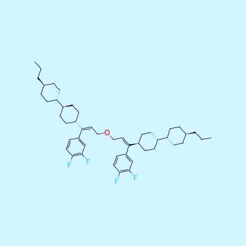 CCC[C@H]1CC[C@H]([C@H]2CC[C@H](C(=CCOCC=C(c3ccc(F)c(F)c3)[C@H]3CC[C@H]([C@H]4CC[C@H](CCC)CC4)CC3)c3ccc(F)c(F)c3)CC2)CC1